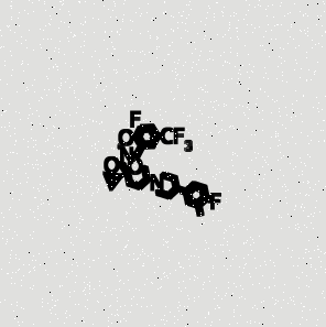 Cc1cc(C2CCN([C@@H]3CC[C@@](C(=O)N4COc5c(F)cc(C(F)(F)F)cc5C4)(C4CC4)OC3)CC2)ccc1F